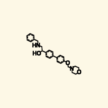 OC(CNCc1ccccc1)c1ccc(-c2ccc(OCN3CCOCC3)cc2)cc1